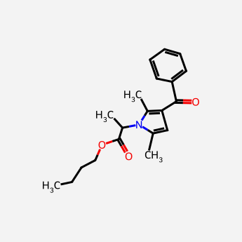 CCCCOC(=O)C(C)n1c(C)cc(C(=O)c2ccccc2)c1C